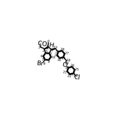 CC1=C(CC(=O)O)c2cc(Br)ccc2/C1=C\c1ccc(COc2ccc(Cl)cc2)cc1